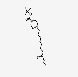 CCOC(=O)CCCCCCCN1CCN(C(=O)OC(C)(C)C)CC1